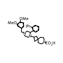 COc1ccc(CN2CCN(C3CC4(CCN(C(=O)O)CC4)C3)C(c3ccccc3C(C)C)C2)cc1OC